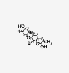 CC(Cc1cc(Br)c(Oc2ccc(O)c(I)c2)c(Br)c1)C(=O)O